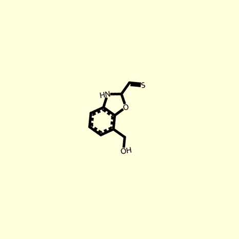 OCc1cccc2c1OC(C=S)N2